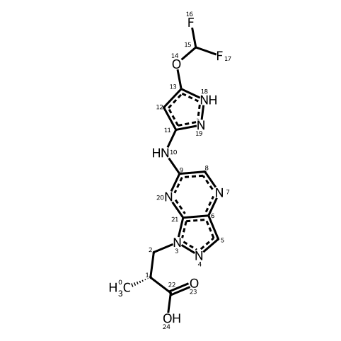 C[C@H](Cn1ncc2ncc(Nc3cc(OC(F)F)[nH]n3)nc21)C(=O)O